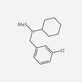 CSN(Cc1cccc(Cl)c1)C1CCCCC1